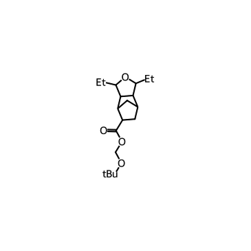 CCC1OC(CC)C2C3CC(CC3C(=O)OCOC(C)(C)C)C12